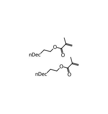 C=C(C)C(=O)OCCCCCCCCCCCC.C=C(C)C(=O)OCCCCCCCCCCCC